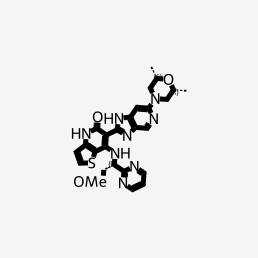 COC[C@H](Nc1c(-c2nc3cnc(N4C[C@@H](C)O[C@@H](C)C4)cc3[nH]2)c(=O)[nH]c2ccsc12)c1ncccn1